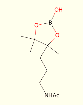 CC(=O)NCCCC1(C)OB(O)OC1(C)C